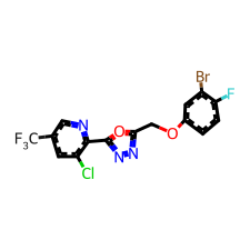 Fc1ccc(OCc2nnc(-c3ncc(C(F)(F)F)cc3Cl)o2)cc1Br